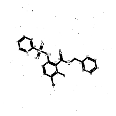 Cc1c(Br)ccc(NS(=O)(=O)c2ccccn2)c1C(=O)OCc1ccccc1